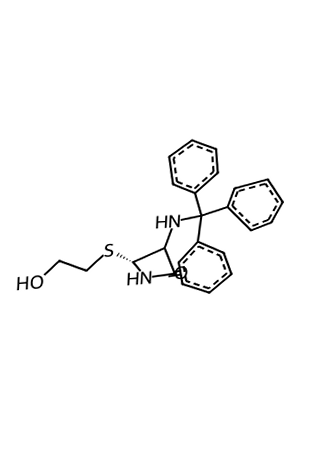 O=C1N[C@H](SCCO)C1NC(c1ccccc1)(c1ccccc1)c1ccccc1